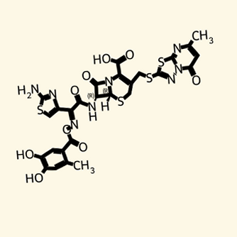 Cc1cc(=O)n2nc(SCC3=C(C(=O)O)N4C(=O)[C@@H](NC(=O)C(=NOC(=O)c5cc(O)c(O)cc5C)c5csc(N)n5)[C@H]4SC3)sc2n1